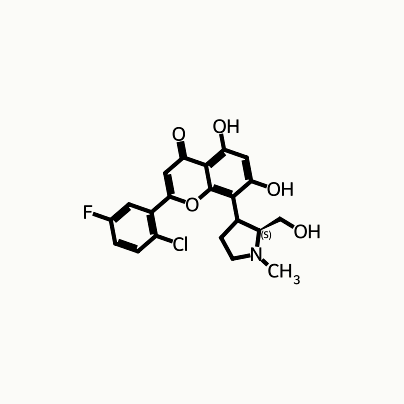 CN1CCC(c2c(O)cc(O)c3c(=O)cc(-c4cc(F)ccc4Cl)oc23)[C@H]1CO